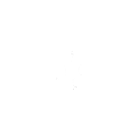 CCc1cc(Br)ccc1S